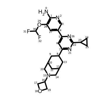 Nc1ncc(-c2cc(C3CC4CC(C3)CN(C3COC3)C4)nc(C3CC3)n2)cc1OC(F)F